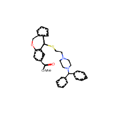 COC(=O)c1ccc2c(c1)C(SCCN1CCN(C(c3ccccc3)c3ccccc3)CC1)c1ccccc1CO2